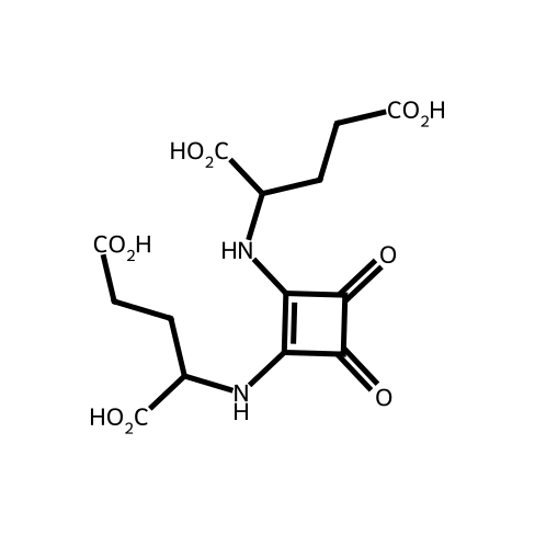 O=C(O)CCC(Nc1c(NC(CCC(=O)O)C(=O)O)c(=O)c1=O)C(=O)O